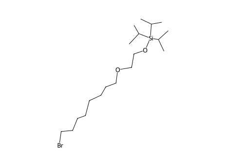 CC(C)[Si](OCCOCCCCCCCCBr)(C(C)C)C(C)C